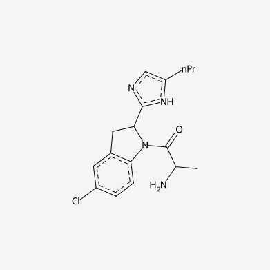 CCCc1cnc(C2Cc3cc(Cl)ccc3N2C(=O)C(C)N)[nH]1